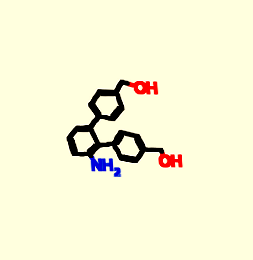 Nc1cccc(-c2ccc(CO)cc2)c1-c1ccc(CO)cc1